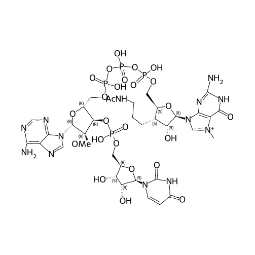 CO[C@@H]1[C@H](OP(=O)(O)OC[C@H]2O[C@@H](n3ccc(=O)[nH]c3=O)[C@H](O)[C@@H]2O)[C@@H](COP(=O)(O)OP(=O)(O)OP(=O)(O)OC[C@H]2O[C@@H](n3c[n+](C)c4c(=O)[nH]c(N)nc43)[C@H](O)[C@@H]2CCCNC(C)=O)O[C@H]1n1cnc2c(N)ncnc21